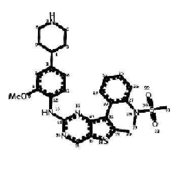 COc1cc(C2CCNCC2)ccc1Nc1ncc2sc(C)c(-c3ccccc3N(C)S(C)(=O)=O)c2n1